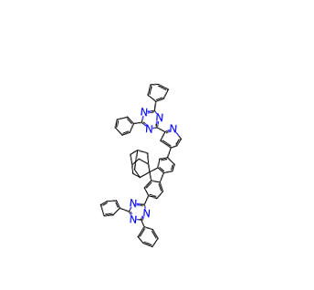 c1ccc(-c2nc(-c3ccccc3)nc(-c3ccc4c(c3)C3(c5cc(-c6ccnc(-c7nc(-c8ccccc8)nc(-c8ccccc8)n7)c6)ccc5-4)C4CC5CC(C4)CC3C5)n2)cc1